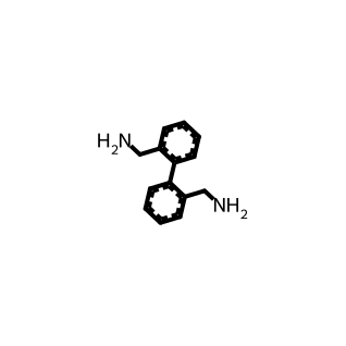 NCc1ccccc1-c1ccccc1CN